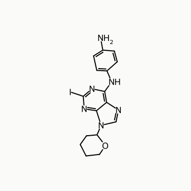 Nc1ccc(Nc2nc(I)nc3c2ncn3C2CCCCO2)cc1